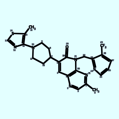 Cc1cnc2cc(C3CCN(c4ncsc4C)CC3)c(=O)n(Cc3ncccc3C(F)(F)F)c2n1